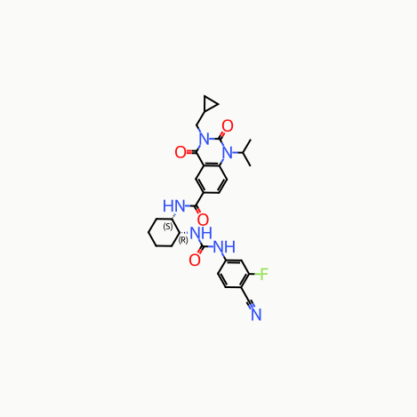 CC(C)n1c(=O)n(CC2CC2)c(=O)c2cc(C(=O)N[C@H]3CCCC[C@H]3NC(=O)Nc3ccc(C#N)c(F)c3)ccc21